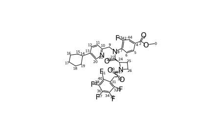 COC(=O)c1ccc(N(Cc2ccc(C3CCCCC3)cn2)C(=O)[C@H]2CCN2S(=O)(=O)c2c(F)c(F)c(F)c(F)c2F)c(F)c1